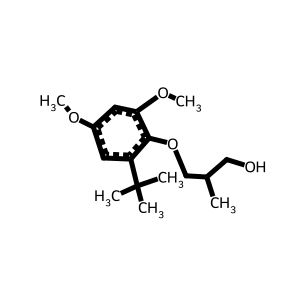 COc1cc(OC)c(OCC(C)CO)c(C(C)(C)C)c1